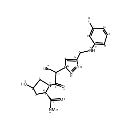 CNC(=O)[C@H]1CC(O)CN1C(=O)C(n1cc(CNc2cccc(F)c2)nn1)C(C)(C)C